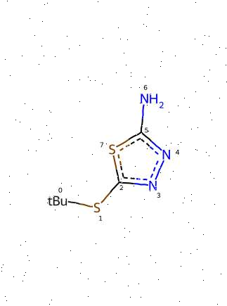 CC(C)(C)Sc1nnc(N)s1